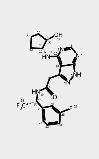 O=C(Cc1n[nH]c2ncnc(N[C@@H]3CCC[C@H]3O)c12)N[C@H](c1cccc(F)c1)C(F)(F)F